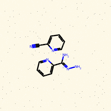 N#Cc1ccccn1.N/N=C(\N)c1ccccn1